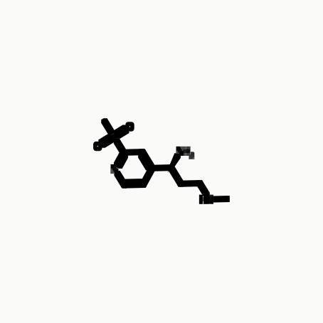 CNCC[C@H](N)c1ccnc(S(C)(=O)=O)c1